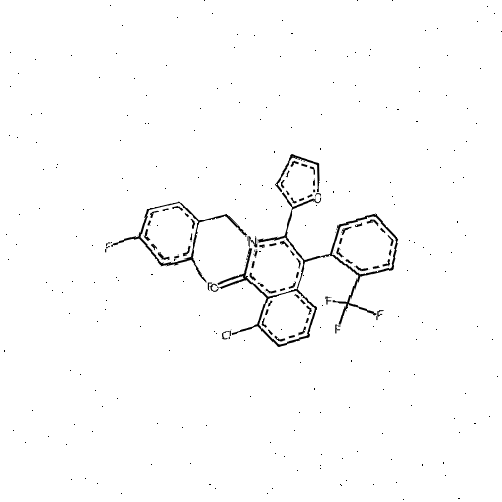 O=c1c2c(Cl)cccc2c(-c2ccccc2C(F)(F)F)c(-c2ccco2)n1Cc1ccc(F)cc1F